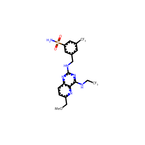 COCc1ccc2nc(NCc3cc(C(F)(F)F)cc(S(N)(=O)=O)c3)nc(NCC(F)(F)F)c2n1